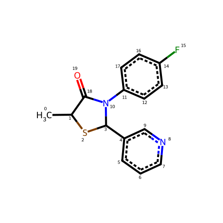 CC1SC(c2cccnc2)N(c2ccc(F)cc2)C1=O